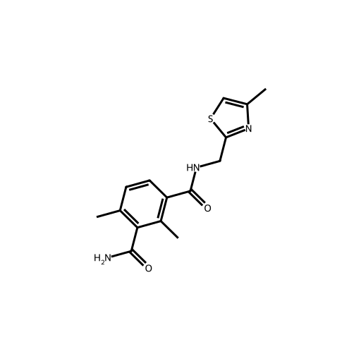 Cc1csc(CNC(=O)c2ccc(C)c(C(N)=O)c2C)n1